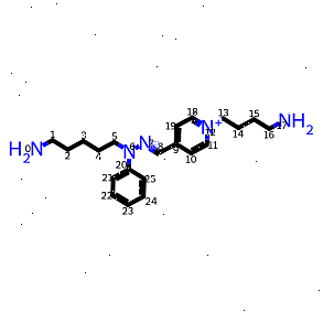 NCCCCCN(/N=C/c1cc[n+](CCCCN)cc1)c1ccccc1